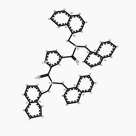 O=C(c1ccnc(C(=O)N(Cc2cccc3ccccc23)Cc2cccc3ccccc23)c1)N(Cc1cccc2ccccc12)Cc1cccc2ccccc12